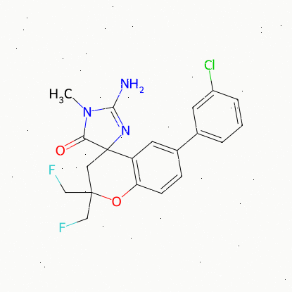 CN1C(=O)C2(CC(CF)(CF)Oc3ccc(-c4cccc(Cl)c4)cc32)N=C1N